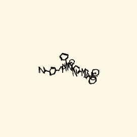 CS(=O)(=O)N1CCN(c2ccc(NC(=O)[C@@H](NCCc3ccc(C#N)cc3)c3ccccc3)nc2)CC1